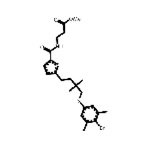 COC(=O)CCNC(=O)c1ccc(CCC(C)(C)CSc2cc(C)c(Br)c(C)c2)s1